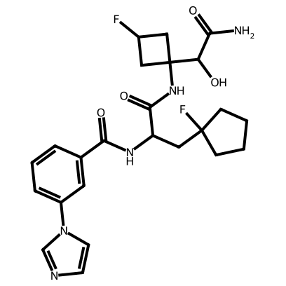 NC(=O)C(O)C1(NC(=O)C(CC2(F)CCCC2)NC(=O)c2cccc(-n3ccnc3)c2)CC(F)C1